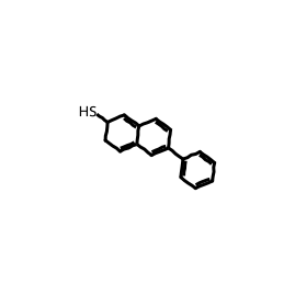 SC1C=c2ccc(-c3ccccc3)cc2=CC1